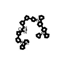 c1ccc(-n2c3ccccc3c3ccc(-c4ccc5c(c4)c4ccccc4n5-c4ccc(-c5cccc(-c6cccc(-c7ncnc8c7oc7ccc(-c9cccc(-n%10c%11ccccc%11c%11ccccc%11%10)c9)cc78)c6)c5)cc4)cc32)cc1